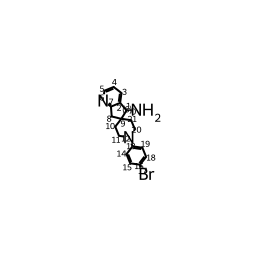 N[C@@H]1c2cccnc2CC12CCN(c1ccc(Br)cc1)CC2